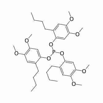 CCCCc1cc(OC)c(OC)cc1OP(Oc1cc(OC)c(OC)cc1CCCC)Oc1cc(OC)c(OC)cc1CCCC